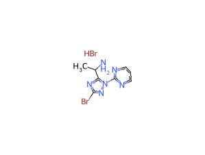 Br.CC(N)c1nc(Br)nn1-c1ncccn1